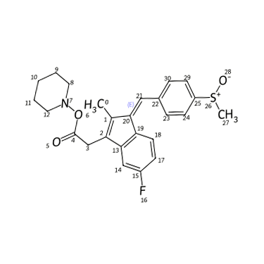 CC1=C(CC(=O)ON2CCCCC2)c2cc(F)ccc2/C1=C\c1ccc([S+](C)[O-])cc1